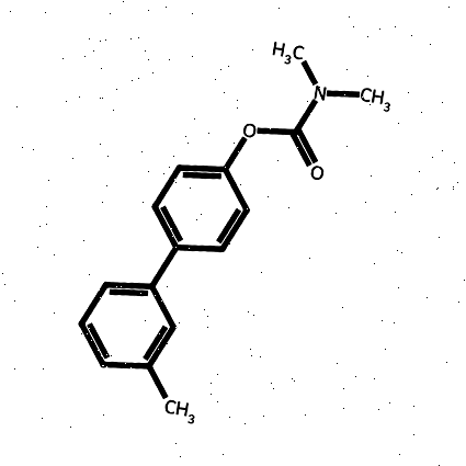 Cc1cccc(-c2ccc(OC(=O)N(C)C)cc2)c1